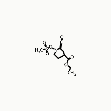 CCOC(=O)C1CCN(OS(C)(=O)=O)C(=C=O)C1